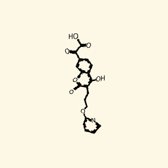 O=C(O)C(=O)c1ccc2c(O)c(CCCOc3ccccn3)c(=O)oc2c1